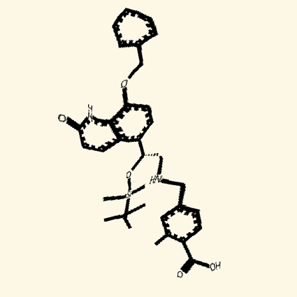 Cc1cc(CNC[C@H](O[Si](C)(C)C(C)(C)C)c2ccc(OCc3ccccc3)c3[nH]c(=O)ccc23)ccc1C(=O)O